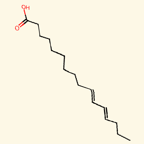 CCC/C=C/C=C/CCCCCCCCC(=O)O